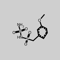 COc1cccc(CS(=O)(=O)NS(N)(=O)=O)c1